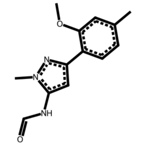 COc1cc(C)ccc1-c1cc(NC=O)n(C)n1